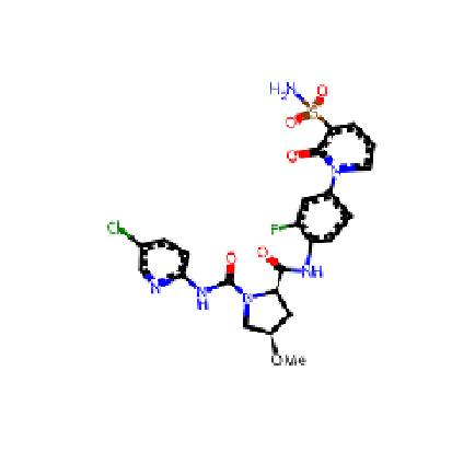 CO[C@@H]1C[C@H](C(=O)Nc2ccc(-n3cccc(S(N)(=O)=O)c3=O)cc2F)N(C(=O)Nc2ccc(Cl)cn2)C1